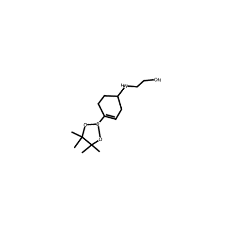 CC1(C)OB(C2=CCC(NCCO)CC2)OC1(C)C